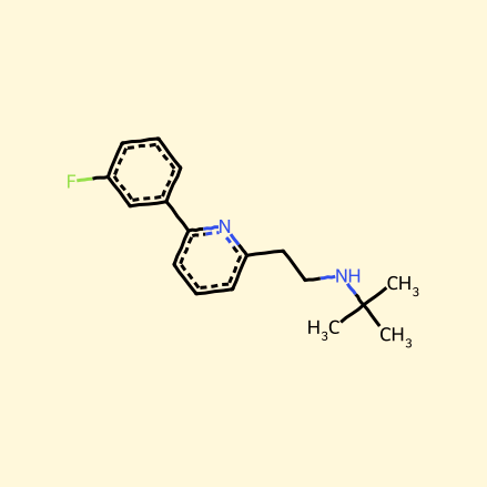 CC(C)(C)NCCc1cccc(-c2cccc(F)c2)n1